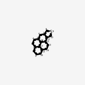 c1cc2ccc3cc4cscc4c4ccc(c1)c2c34